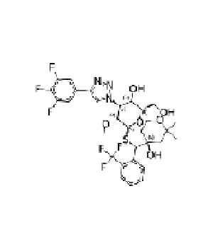 CO[C@@H]1[C@@H](n2cc(-c3cc(F)c(F)c(F)c3)nn2)[C@@H](O)[C@@H](CO)O[C@H]1SC(c1ccccc1C(F)(F)F)[C@]1(O)CCOC(C)(C)C1